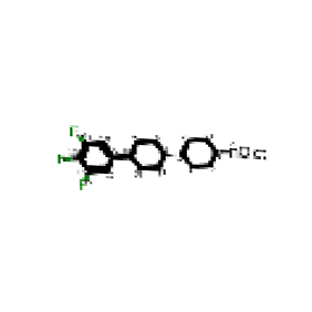 CCCCCCCC[C@H]1CC[C@H](C2CCC(c3cc(F)c(F)c(F)c3)CC2)CC1